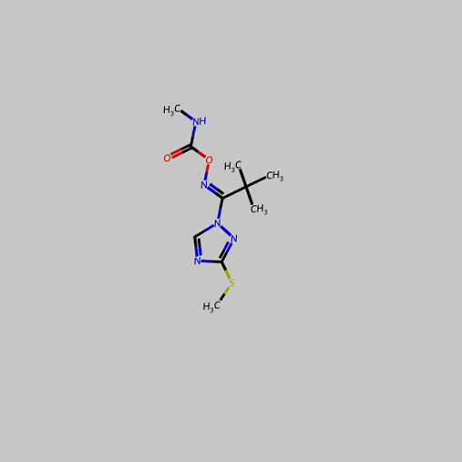 CNC(=O)ON=C(n1cnc(SC)n1)C(C)(C)C